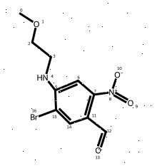 COCCNc1cc([N+](=O)[O-])c(C=O)cc1Br